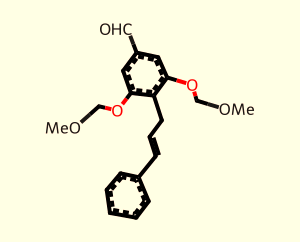 COCOc1cc(C=O)cc(OCOC)c1CC=Cc1ccccc1